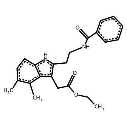 CCOC(=O)Cc1c(CCNC(=O)c2ccccc2)[nH]c2ccc(C)c(C)c12